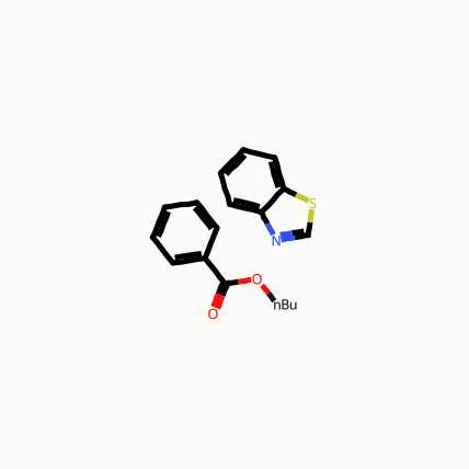 CCCCOC(=O)c1ccccc1.c1ccc2scnc2c1